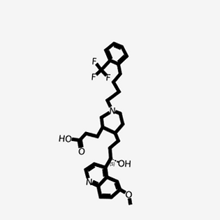 COc1ccc2nccc([C@@H](O)CCC3CCN(CCCCc4ccccc4C(F)(F)F)CC3CCC(=O)O)c2c1